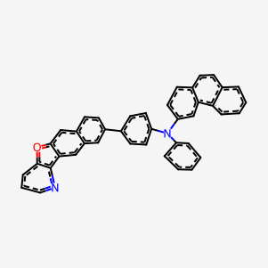 c1ccc(N(c2ccc(-c3ccc4cc5oc6cccnc6c5cc4c3)cc2)c2ccc3ccc4ccccc4c3c2)cc1